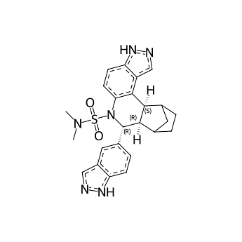 CN(C)S(=O)(=O)N1c2ccc3[nH]ncc3c2[C@H]2C3CCC(C3)[C@H]2[C@@H]1c1ccc2[nH]ncc2c1